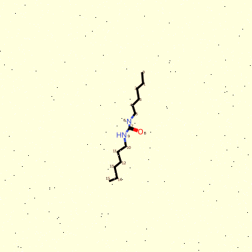 CCCCCC[N]C(=O)NCCCCCC